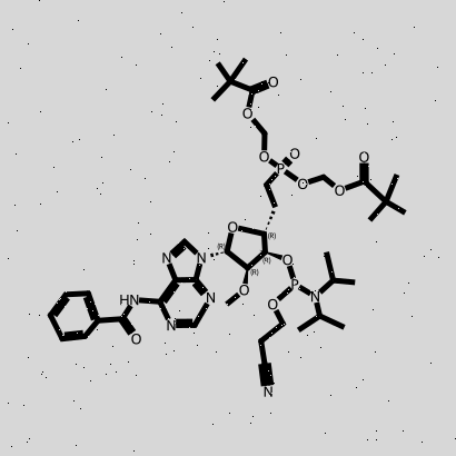 CO[C@@H]1[C@H](OP(OCCC#N)N(C(C)C)C(C)C)[C@@H](CCP(=O)(OCOC(=O)C(C)(C)C)OCOC(=O)C(C)(C)C)O[C@H]1n1cnc2c(NC(=O)c3ccccc3)ncnc21